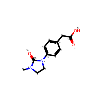 CN1CCN(c2ccc(CC(=O)O)cc2)C1=O